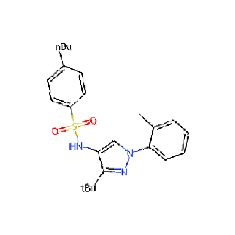 CCCCc1ccc(S(=O)(=O)Nc2cn(-c3ccccc3C)nc2C(C)(C)C)cc1